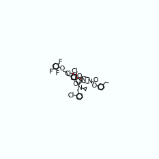 CCc1cccc(OC(=O)N2CC3CC(c4ccc(CCCOc5c(F)ccc(F)c5F)cc4)=C(C(=O)N(Cc4ccccc4Cl)C4CC4)C(C2)N3C(=O)OC(C)(C)C(Cl)(Cl)Cl)c1